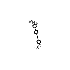 Fc1cc(-c2ccc(C#Cc3ccc(OC(F)(F)F)cc3)cc2)ccc1N=C=S